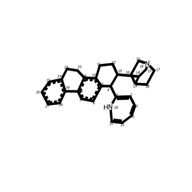 C1=CC=C(C2c3ccc4c(c3CCC2C2CN3CCC2CC3)CCc2ccccc2-4)NC=C1